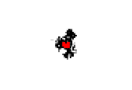 C#Cc1cccc2cccc(-c3nc4c5c(nc(OC[C@@]67CCCN6C[C@H](F)C7)nc5c3F)N3C[C@H]5CC[C@@H]([C@H]3[C@H](C)O4)N5C(=O)OC(C)(C)C)c12